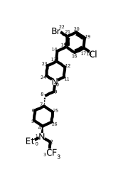 CCN(CC(F)(F)F)[C@H]1CC[C@H](CCN2CCC(Cc3cc(Cl)ccc3Br)CC2)CC1